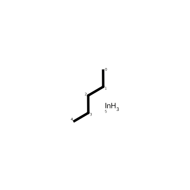 CCCCC.[InH3]